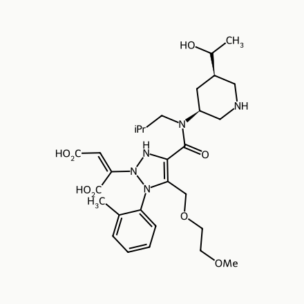 COCCOCC1=C(C(=O)N(CC(C)C)[C@@H]2CNC[C@H](C(C)O)C2)NN(/C(=C/C(=O)O)C(=O)O)N1c1ccccc1C